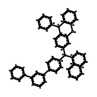 c1ccc(-c2cccc(-c3ccc(N(c4ccc5c(c4)Oc4ccccc4N5c4ccccc4)c4cccc5ccccc45)cc3)c2)cc1